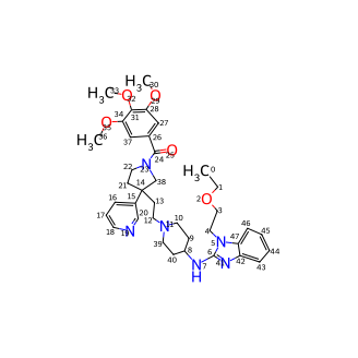 CCOCCn1c(NC2CCN(CCC3(c4cccnc4)CCN(C(=O)c4cc(OC)c(OC)c(OC)c4)C3)CC2)nc2ccccc21